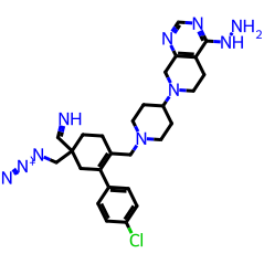 [N-]=[N+]=NCC1(C=N)CCC(CN2CCC(N3CCc4c(ncnc4NN)C3)CC2)=C(c2ccc(Cl)cc2)C1